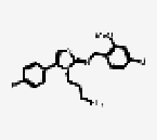 COc1cc(Cl)ccc1C/N=c1\scc(-c2ccc(F)cc2)n1CCCN